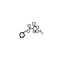 COC(C(=O)Cl)C(=O)OCc1ccccc1